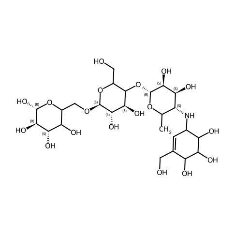 CC1O[C@H](OC2C(CO)O[C@H](OCC3O[C@@H](O)[C@H](O)[C@@H](O)C3O)[C@@H](O)[C@@H]2O)[C@@H](O)[C@@H](O)[C@@H]1NC1C=C(CO)C(O)C(O)C1O